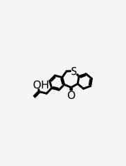 C=C(O)Cc1ccc2c(c1)C(=O)C1CC=CC=C1SC2